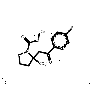 CC(C)(C)OC(=O)N1CCCC1(CC(=O)c1ccc(F)cc1)C(=O)O